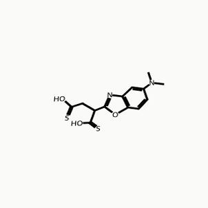 CN(C)c1ccc2oc(C(CC(O)=S)C(O)=S)nc2c1